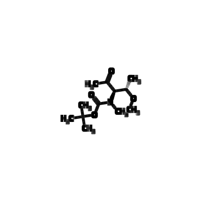 CO[C@@H](C)[C@H](C(C)=O)N(C)C(=O)OC(C)(C)C